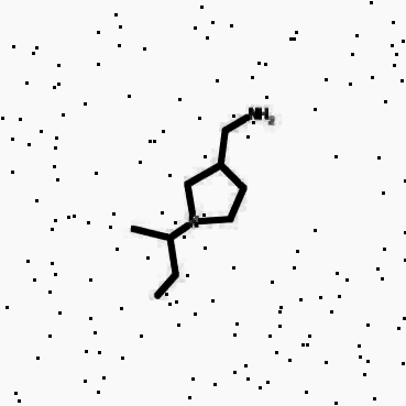 CCC(C)N1CCC(CN)C1